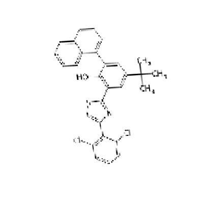 CC(C)(C)c1cc(-c2nc(-c3c(Cl)cccc3Cl)cs2)c(O)c(-c2cccc3ccccc23)c1